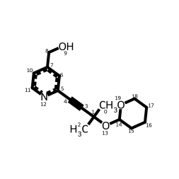 CC(C)(C#Cc1cc(CO)ccn1)OC1CCCCO1